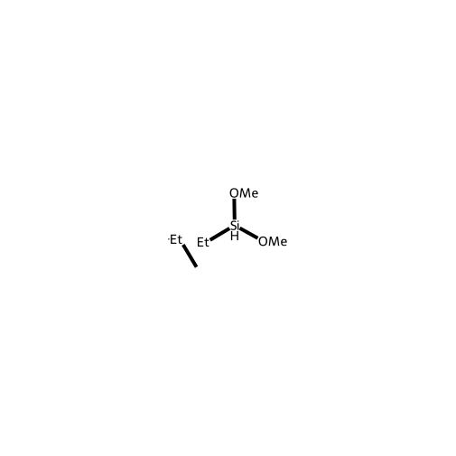 CC[SiH](OC)OC.C[CH]C